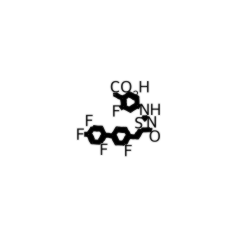 O=C(O)Cc1ccc(NC2=NC(=O)C(=Cc3ccc(-c4cc(F)c(F)cc4F)cc3F)S2)cc1F